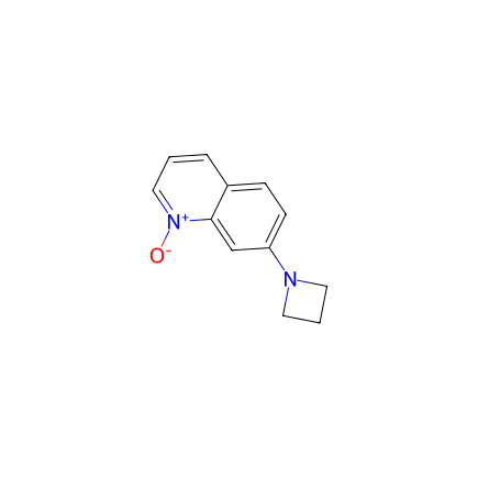 [O-][n+]1cccc2ccc(N3CCC3)cc21